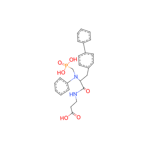 O=C(O)CCNC(=O)C(Cc1ccc(-c2ccccc2)cc1)N(CP(=O)(O)O)c1ccccc1